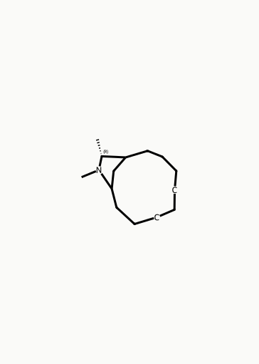 C[C@@H]1C2CCCCCCCCC(C2)N1C